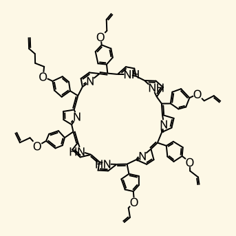 C=CCCCOc1ccc(-c2c3nc(c(-c4ccc(OCC=C)cc4)c4ccc([nH]4)c4ccc([nH]4)c(-c4ccc(OCC=C)cc4)c4nc(c(-c5ccc(OCC=C)cc5)c5nc(c(-c6ccc(OCC=C)cc6)c6ccc([nH]6)c6ccc([nH]6)c(-c6ccc(OCC=C)cc6)c6nc2C=C6)C=C5)C=C4)C=C3)cc1